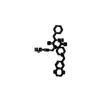 CC#CCN1C(=O)C(CC2CCCCC2)NC(=O)C12CCN(Cc1ccc3c(c1)OCCO3)CC2